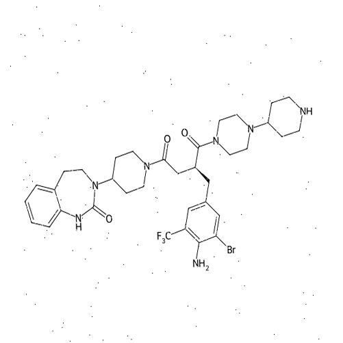 Nc1c(Br)cc(C[C@@H](CC(=O)N2CCC(N3CCc4ccccc4NC3=O)CC2)C(=O)N2CCN(C3CCNCC3)CC2)cc1C(F)(F)F